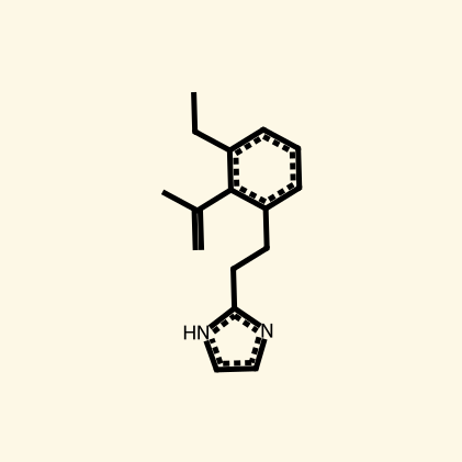 C=C(C)c1c(CC)cccc1CCc1ncc[nH]1